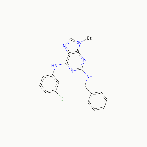 CCn1cnc2c(Nc3cccc(Cl)c3)nc(NCc3ccccc3)nc21